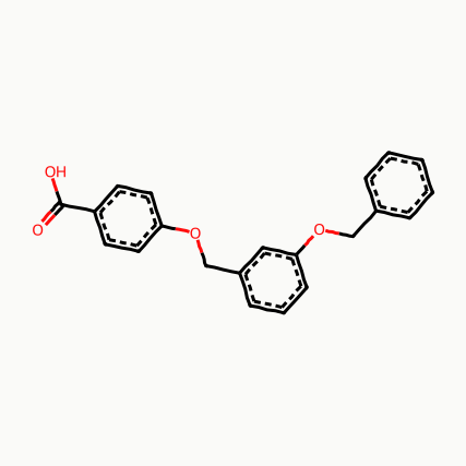 O=C(O)c1ccc(OCc2cccc(OCc3ccccc3)c2)cc1